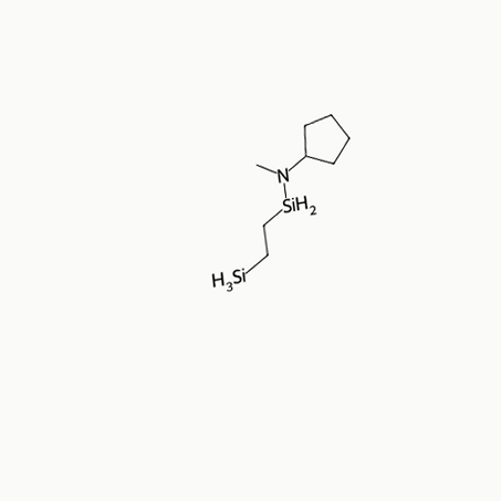 CN([SiH2]CC[SiH3])C1CCCC1